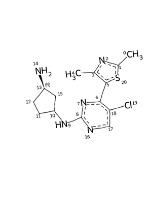 Cc1nc(C)c(-c2nc(NC3CC[C@@H](N)C3)ncc2Cl)s1